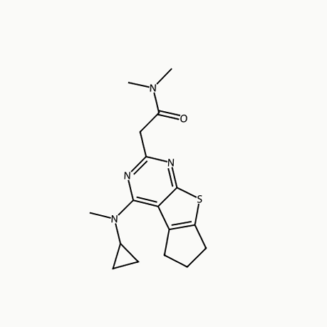 CN(C)C(=O)Cc1nc(N(C)C2CC2)c2c3c(sc2n1)CCC3